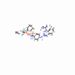 CN(C)c1nc(N[C@H]2CC[C@@H](NS(=O)(=O)c3ccccc3OC(C)(F)F)CC2)nc2ccccc12